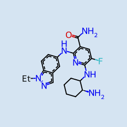 CCn1ncc2cc(Nc3nc(NC4CCCC[C@@H]4N)c(F)cc3C(N)=O)ccc21